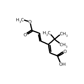 COC(=O)C=CC(=CC(=O)O)C(C)(C)C